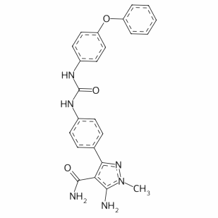 Cn1nc(-c2ccc(NC(=O)Nc3ccc(Oc4ccccc4)cc3)cc2)c(C(N)=O)c1N